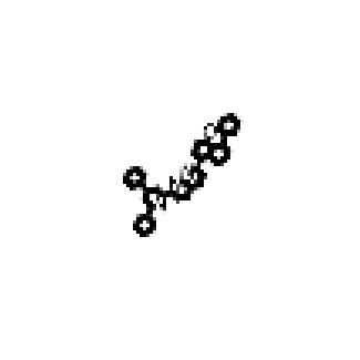 c1ccc(-c2cc(-c3ccccc3)nc(-c3ccc4ccc(-c5ccc6c7c(cccc57)-c5ccccc5O6)nc4n3)c2)cc1